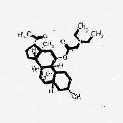 CCN(CC)CC(=O)O[C@H]1C[C@]2(C)[C@@H](C(C)=O)CC[C@H]2[C@@H]2CC[C@H]3C[C@H](O)CC[C@]3(C)[C@H]21